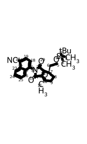 CC(C)(C)[Si](C)(C)OCC[C@@]12CC[C@](C)(O1)C1C(=O)N(c3ccc(C#N)c4ccccc34)C(=O)C12